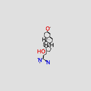 COC1=CC2=CC[C@@H]3[C@H](CC[C@@]4(C)[C@H]3CC[C@@]4(O)C/C=C(\C#N)N(C)C)[C@@]2(C)CC1